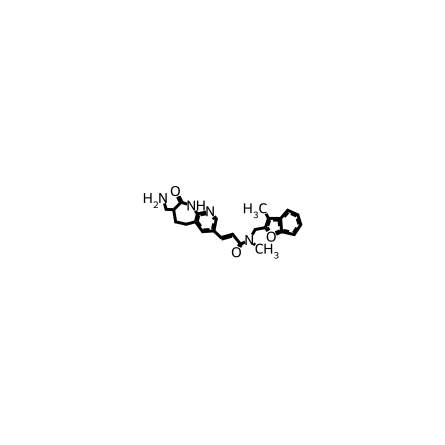 Cc1c(CN(C)C(=O)/C=C/c2cnc3c(c2)CCC(CN)C(=O)N3)oc2ccccc12